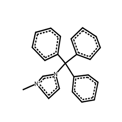 C[n+]1ccn(C(c2ccccc2)(c2ccccc2)c2ccccc2)c1